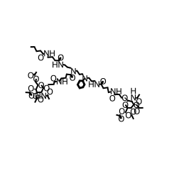 CCCCC(=O)NCCCC(=O)NCCCN(CCCN(CCCNC(=O)CCCNC(=O)CCO[C@@H]1OC(COC(C)=O)[C@H](OC(C)=O)[C@H](OC(C)=O)C1NC(C)=O)c1ccccc1)C(=O)CCCNC(=O)CCO[C@@H]1OC(COC(C)=O)[C@H](OC(C)=O)[C@H](OC(C)=O)C1NC(C)=O